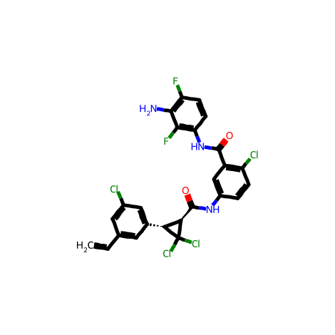 C=Cc1cc(Cl)cc([C@@H]2[C@@H](C(=O)Nc3ccc(Cl)c(C(=O)Nc4ccc(F)c(N)c4F)c3)C2(Cl)Cl)c1